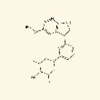 CC(=O)N1C(C)CN(c2cccc(C3CNc4ncc(OC(C)C)cc43)n2)CC1C